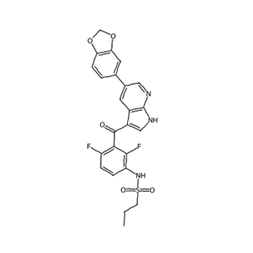 CCCS(=O)(=O)Nc1ccc(F)c(C(=O)c2c[nH]c3ncc(-c4ccc5c(c4)OCO5)cc23)c1F